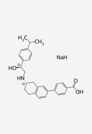 CC(C)c1ccc([C@H](O)CN[C@H]2CCc3ccc(-c4ccc(C(=O)O)cc4)cc3C2)cc1.[NaH]